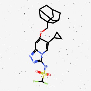 O=S(=O)(Nc1nnc2cc(OCC34CC5CC(CC(C5)C3)C4)c(C3CC3)cn12)C(F)F